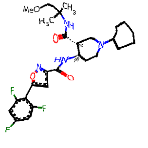 COCC(C)(C)NC(=O)[C@@H]1CN(C2CCCCC2)CC[C@H]1NC(=O)c1cc(-c2c(F)cc(F)cc2F)on1